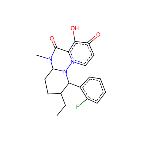 CCC1CCC2N(C)C(=O)c3c(O)c(=O)ccn3N2C1c1ccccc1F